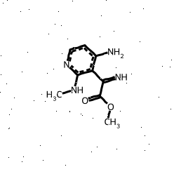 CNc1nccc(N)c1C(=N)C(=O)OC